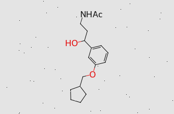 CC(=O)NCCC(O)c1cccc(OCC2CCCC2)c1